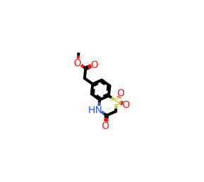 COC(=O)Cc1ccc2c(c1)NC(=O)CS2(=O)=O